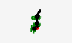 CCCCCc1cc(F)c(C#Cc2cc(F)c(C(F)(F)Oc3cc(F)c(F)c(F)c3)c(F)c2)c(Cl)c1